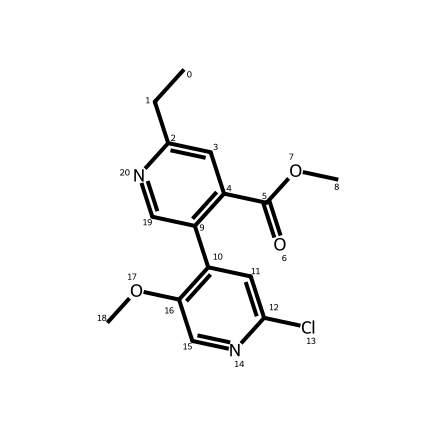 CCc1cc(C(=O)OC)c(-c2cc(Cl)ncc2OC)cn1